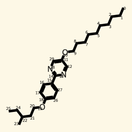 CCCCCCCCCCOc1cnc(-c2ccc(OCCC(C)CC)cc2)nc1